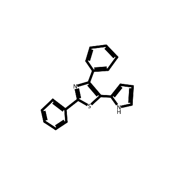 c1ccc(-c2nc(-c3ccccc3)c(-c3ccc[nH]3)s2)cc1